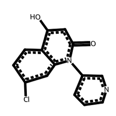 O=c1cc(O)c2ccc(Cl)cc2n1-c1cccnc1